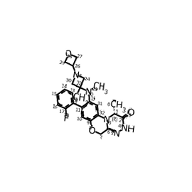 C[C@@H]1C(=O)NN=C2COc3cc(-c4ccccc4F)c(N(C)C4(C)CN(C5COC5)C4)cc3N21